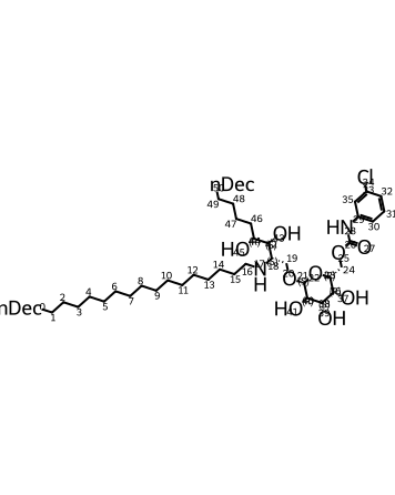 CCCCCCCCCCCCCCCCCCCCCCCCCCN[C@@H](CO[C@H]1O[C@H](COC(=O)Nc2cccc(Cl)c2)[C@H](O)[C@H](O)[C@H]1O)[C@H](O)[C@H](O)CCCCCCCCCCCCCC